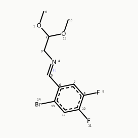 COC(C/N=C/c1cc(F)c(F)cc1Br)OC